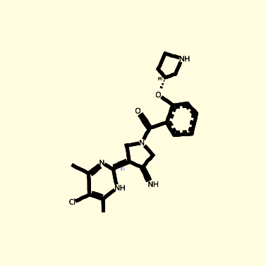 CC1=N/C(=C2\CN(C(=O)c3ccccc3O[C@@H]3CCNC3)CC2=N)NC(C)=C1Cl